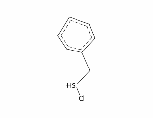 Cl[SiH]Cc1ccccc1